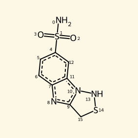 NS(=O)(=O)c1ccc2nc3n(c2c1)NSC3